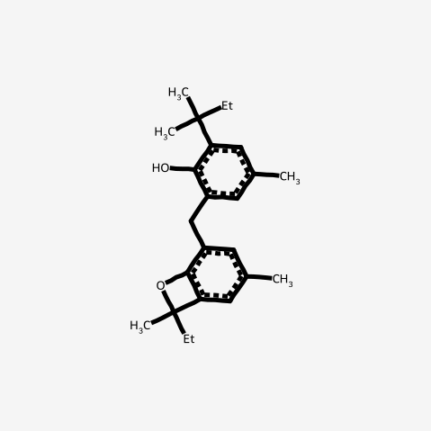 CCC(C)(C)c1cc(C)cc(Cc2cc(C)cc3c2OC3(C)CC)c1O